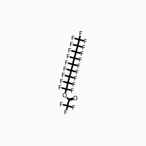 O=C(OC(F)(F)C(F)(F)C(F)(F)C(F)(F)C(F)(F)C(F)(F)C(F)(F)C(F)(F)C(F)(F)F)C(F)(F)F